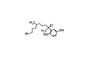 CCC(C)(CCCC(C)CCCC(C)C)c1cc(O)ccc1O